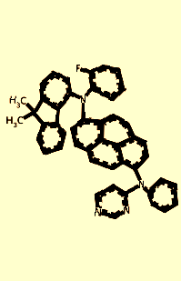 CC1(C)c2ccccc2-c2c(N(c3ccccc3F)c3ccc4ccc5c(N(c6ccccc6)c6ccncn6)ccc6ccc3c4c65)cccc21